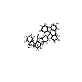 CN1C2=C3C(=CCC2(C)c2cccc(-c4ccccc4C=O)c21)C1(c2ccccc23)c2ccccc2-c2ccccc21